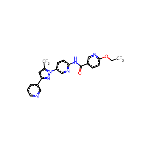 O=C(Nc1ccc(-n2nc(-c3cccnc3)cc2C(F)(F)F)cn1)c1ccc(OCC(F)(F)F)nc1